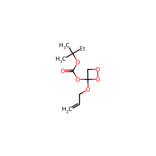 C=CCOC1(OC(=O)OC(C)(C)CC)COO1